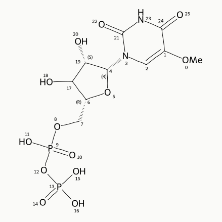 COc1cn([C@@H]2O[C@H](COP(=O)(O)OP(=O)(O)O)C(O)[C@@H]2O)c(=O)[nH]c1=O